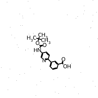 CC(C)(C)OC(=O)Nc1ccc(-c2cccc(C(=O)O)c2)nc1